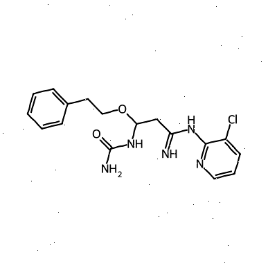 N=C(CC(NC(N)=O)OCCc1ccccc1)Nc1ncccc1Cl